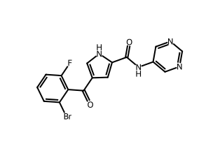 O=C(Nc1cncnc1)c1cc(C(=O)c2c(F)cccc2Br)c[nH]1